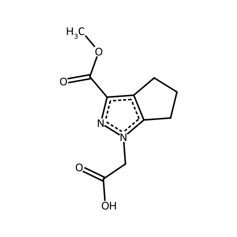 COC(=O)c1nn(CC(=O)O)c2c1CCC2